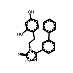 Oc1ccc(CCn2c(-c3cccc(-c4ccccc4)c3)n[nH]c2=S)c(O)c1